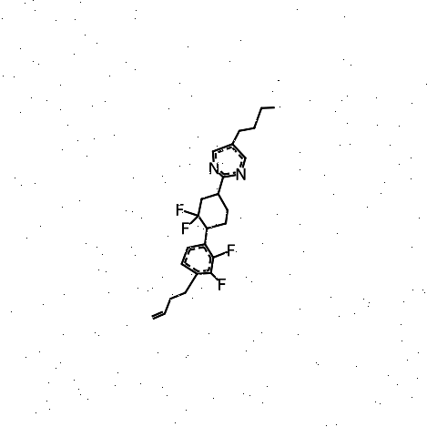 C=CCCc1ccc(C2CCC(c3ncc(CCCC)cn3)CC2(F)F)c(F)c1F